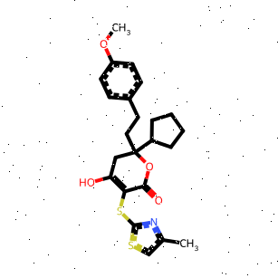 COc1ccc(CCC2(C3CCCC3)CC(O)=C(Sc3nc(C)cs3)C(=O)O2)cc1